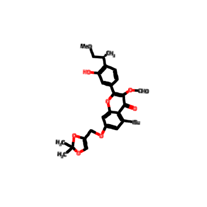 COC[C@H](C)c1ccc(-c2oc3cc(OCC4=COC(C)(C)O4)cc(C(C)(C)C)c3c(=O)c2OC=O)cc1O